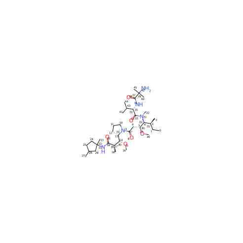 CC[C@H](C)[C@@H]([C@@H](CC(=O)N1CCC[C@H]1[C@H](OC)[C@@H](C)C(=O)NC1(C)CCC(C)C1)OC)N(C)C(=O)[C@@H](NC(=O)C(C)(C)N)C(C)C